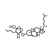 CCCCC(NC(=O)O[C@H]1CC[C@@]2(C)C(=CC[C@H]3[C@@H]4CC[C@H]([C@H](C)CCCC(C)C)[C@@]4(C)CC[C@@H]32)C1)C(=O)O